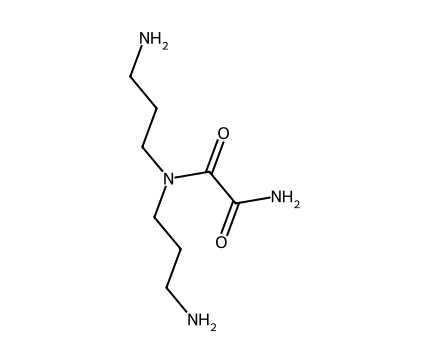 NCCCN(CCCN)C(=O)C(N)=O